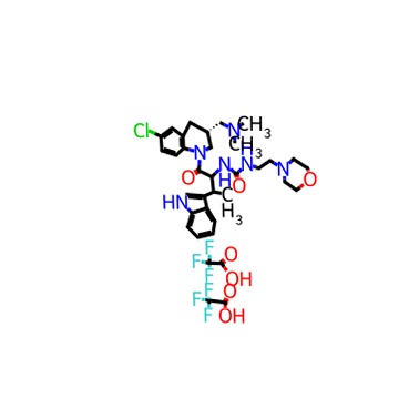 CC(c1c[nH]c2ccccc12)C(NC(=O)NCCN1CCOCC1)C(=O)N1C[C@@H](CN(C)C)Cc2cc(Cl)ccc21.O=C(O)C(F)(F)F.O=C(O)C(F)(F)F